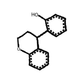 Oc1ccccc1C1CCOc2ccccc21